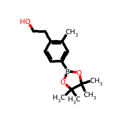 Cc1cc(B2OC(C)(C)C(C)(C)O2)ccc1CCO